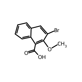 COc1c(Br)cc2ccccc2c1C(=O)O